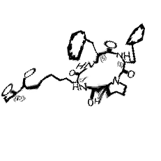 O=C1N[C@@H](Cc2ccccc2)C(=O)N2CCC[C@@H]2C(=O)N[C@@H](CCCCCC(=O)[C@H]2CO2)C(=O)N[C@H]1Cc1ccccc1